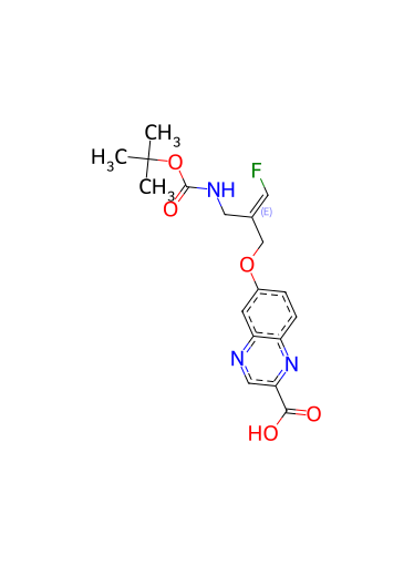 CC(C)(C)OC(=O)NC/C(=C\F)COc1ccc2nc(C(=O)O)cnc2c1